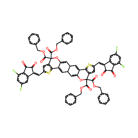 O=C1C(=O)c2c(F)cc(F)cc2/C1=C/c1cc2c(s1)C1=CC3C=C4OC(C(=O)OCc5ccccc5)(C(=O)OCc5ccccc5)c5cc(/C=C6\C(=O)C(=O)c7c(F)cc(F)cc76)sc5C4=CC3C=C1OC2(C(=O)OCc1ccccc1)C(=O)OCc1ccccc1